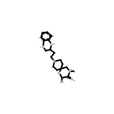 CCC1OC2(CCN(CCC3COc4ccccc4O3)CC2)CN(C)C1=O